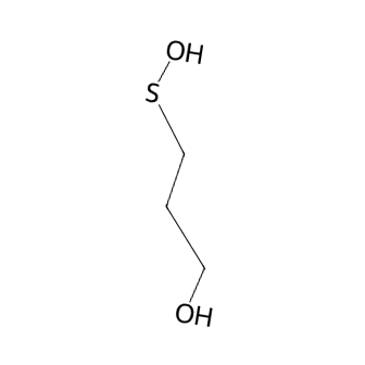 OCCCSO